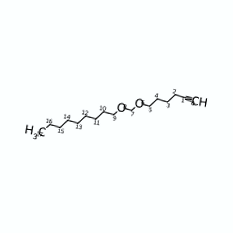 C#CCCCCOCOCCCCCCCCC